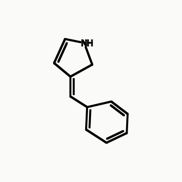 C1=CC(=Cc2ccccc2)CN1